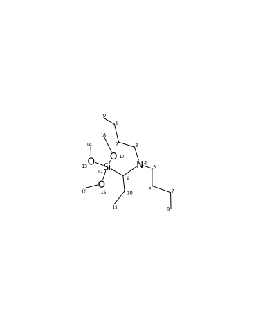 CCCCN(CCCC)C(CC)[Si](OC)(OC)OC